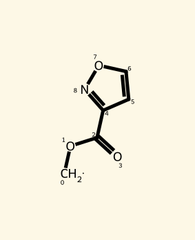 [CH2]OC(=O)c1ccon1